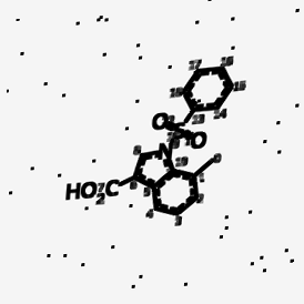 Cc1cccc2c(C(=O)O)cn(S(=O)(=O)c3ccccc3)c12